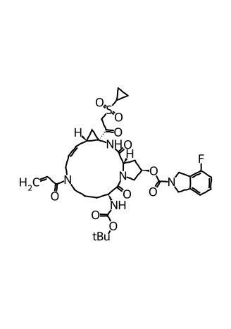 C=CC(=O)N1C/C=C\[C@@H]2C[C@@]2(C(=O)CS(=O)(=O)C2CC2)NC(=O)[C@@H]2C[C@@H](OC(=O)N3Cc4cccc(F)c4C3)CN2C(=O)[C@@H](NC(=O)OC(C)(C)C)CCC1